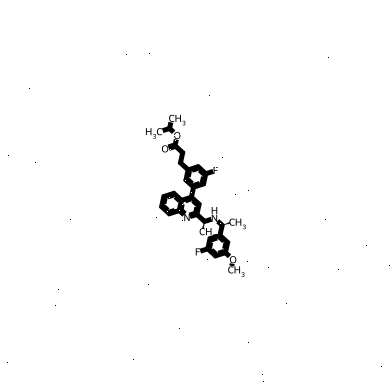 COc1cc(F)cc([C@@H](C)N[C@H](C)c2cc(-c3cc(F)cc(CCC(=O)OC(C)C)c3)c3ccccc3n2)c1